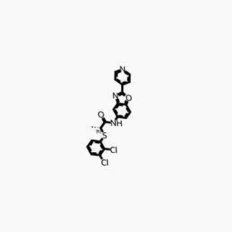 C[C@@H](Sc1cccc(Cl)c1Cl)C(=O)Nc1ccc2oc(-c3ccncc3)nc2c1